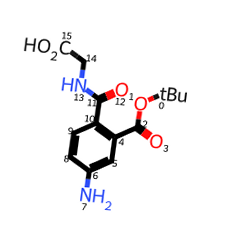 CC(C)(C)OC(=O)c1cc(N)ccc1C(=O)NCC(=O)O